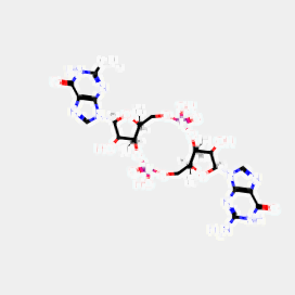 Cc1nc2c(ncn2[C@@H]2O[C@@H]3COP(=O)(O)O[C@@H]4C(O)[C@H](n5cnc6c(=O)[nH]c(N)nc65)O[C@@H]4COP(=O)(O)O[C@@H]3C2O)c(=O)[nH]1